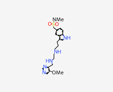 CNS(=O)(=O)Cc1ccc2[nH]cc(CCCNCCNCc3ncncc3OC)c2c1